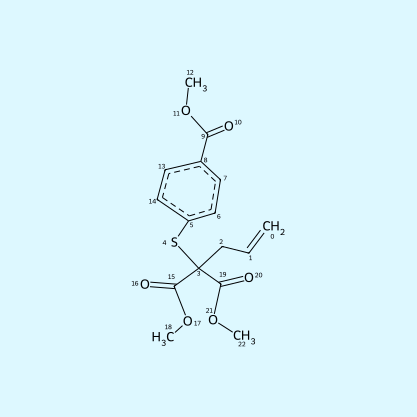 C=CCC(Sc1ccc(C(=O)OC)cc1)(C(=O)OC)C(=O)OC